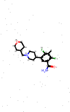 Cc1c(F)c(C(N)=O)cc(C2CCN(CC3CCOCC3)CC2)c1F